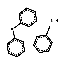 Cc1ccccc1.[NaH].c1ccc(Pc2ccccc2)cc1